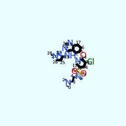 CN(C)CCN(C)S(=O)(=O)c1cnc(Oc2ccc3ncnc(Nc4ccn(C)n4)c3c2)c(Cl)c1